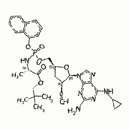 C#C[C@H]1C[C@@H](COP(=O)(N[C@@H](C)C(=O)OCC(C)(C)C)Oc2cccc3ccccc23)O[C@H]1n1cnc2c(NC3CC3)nc(N)nc21